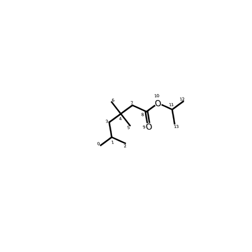 CC(C)CC(C)(C)CC(=O)OC(C)C